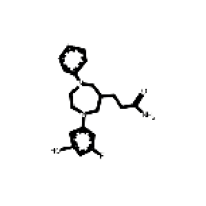 NC(=O)CCC1CN(c2ccccc2)CCN(c2cc(O)cc(F)c2)C1